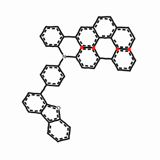 c1ccc(-c2ccc(N(c3ccc(-c4cccc5c4oc4ccccc45)cc3)c3ccccc3-c3ccc4c(ccc5ccccc54)c3)cc2)cc1